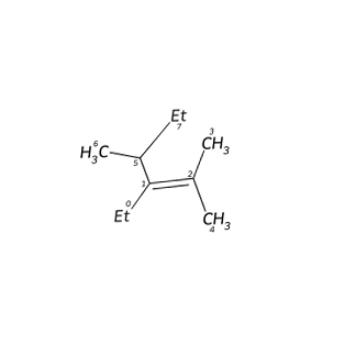 CCC(=C(C)C)C(C)CC